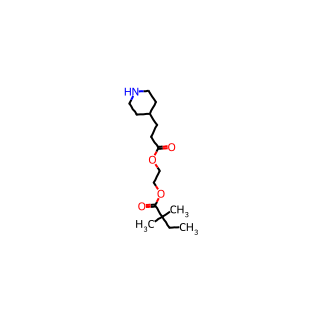 CCC(C)(C)C(=O)OCCOC(=O)CCC1CCNCC1